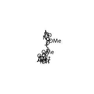 C=C1CC2C=Nc3cc(OCC(C)(C)CCC(C)(C)CCOc4cc5c(cc4OC)C(=O)N4CC(=C)C[C@H]4[C@H](O)N5C(CC)CC)c(OC)cc3C(=O)N2C1